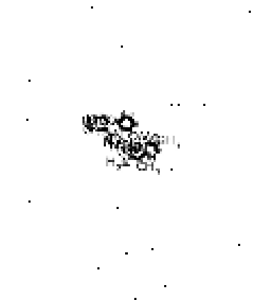 COc1cccc(OC)c1-n1c(NS(=O)(=O)C(C)C(C)c2ncc(C)cn2)nnc1[C@H]1CCCS(=O)(=O)C1